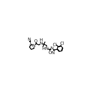 CC(C)(CNc1nc(-c2cccc(Cl)c2Cl)no1)NCC(=O)N1CCC[C@H]1C#N